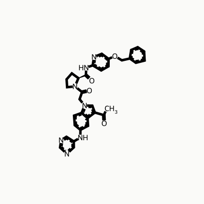 CC(=O)c1cn(CC(=O)N2CCC[C@H]2C(=O)Nc2ccc(OCc3ccccc3)cn2)c2ccc(Nc3cncnc3)cc12